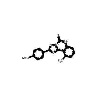 COc1ccc(-c2nc3c4c(C(F)(F)F)cccc4[nH]c(=O)n3n2)cc1